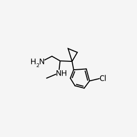 CNC(CN)C1(c2cccc(Cl)c2)CC1